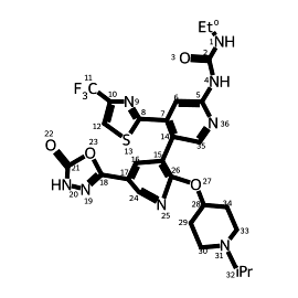 CCNC(=O)Nc1cc(-c2nc(C(F)(F)F)cs2)c(-c2cc(-c3n[nH]c(=O)o3)cnc2OC2CCN(C(C)C)CC2)cn1